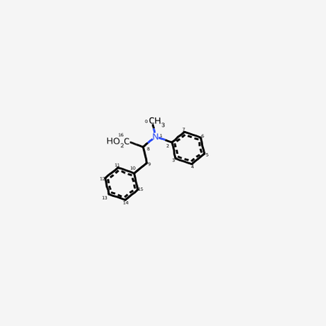 CN(c1ccccc1)C(Cc1ccccc1)C(=O)O